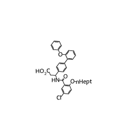 CCCCCCCOc1ccc(Cl)cc1C(=O)NC(CC(=O)O)c1ccc(-c2ccccc2Oc2ccccc2)cc1